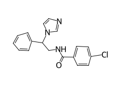 O=C(NCC(c1ccccc1)n1ccnc1)c1ccc(Cl)cc1